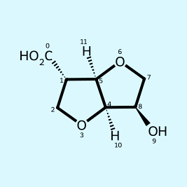 O=C(O)[C@H]1CO[C@H]2[C@@H]1OC[C@H]2O